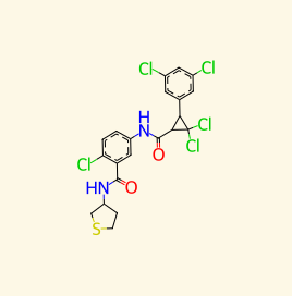 O=C(NC1CCSC1)c1cc(NC(=O)C2C(c3cc(Cl)cc(Cl)c3)C2(Cl)Cl)ccc1Cl